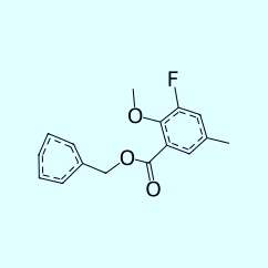 COc1c(F)cc(C)cc1C(=O)OCc1ccccc1